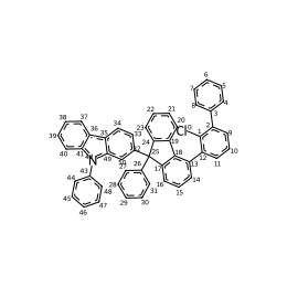 Clc1c(-c2ccccc2)cccc1-c1cccc2c1-c1ccccc1C2(c1ccccc1)c1ccc2c3ccccc3n(-c3ccccc3)c2c1